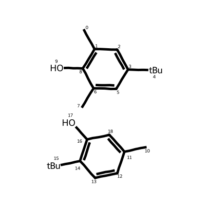 Cc1cc(C(C)(C)C)cc(C)c1O.Cc1ccc(C(C)(C)C)c(O)c1